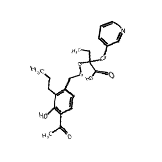 CCCc1c(CSOC(CC)(Oc2cccnc2)C(=O)O)ccc(C(C)=O)c1O